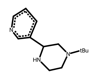 CC(C)(C)N1CCNC(c2cccnc2)C1